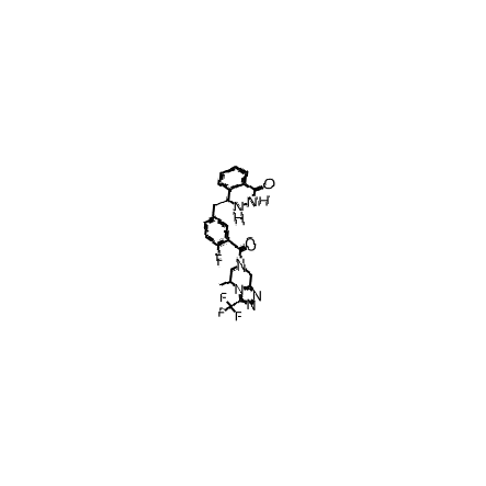 CC1CN(C(=O)c2cc(CC3NNC(=O)c4ccccc43)ccc2F)Cc2nnc(C(F)(F)F)n21